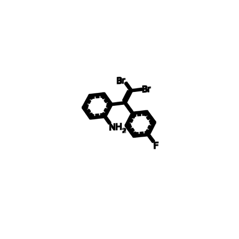 Nc1ccccc1C(=C(Br)Br)c1ccc(F)cc1